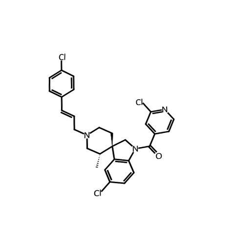 C[C@@H]1CN(C/C=C/c2ccc(Cl)cc2)CC[C@]12CN(C(=O)c1ccnc(Cl)c1)c1ccc(Cl)cc12